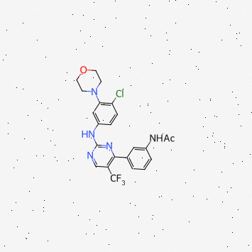 CC(=O)Nc1cccc(-c2nc(Nc3ccc(Cl)c(N4CCOCC4)c3)ncc2C(F)(F)F)c1